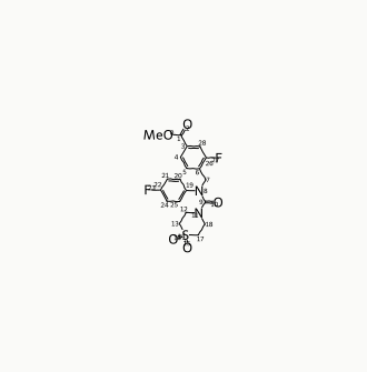 COC(=O)c1ccc(CN(C(=O)N2CCS(=O)(=O)CC2)c2ccc(F)cc2)c(F)c1